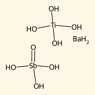 [BaH2].[OH][Ti]([OH])([OH])[OH].[O]=[Sb]([OH])([OH])[OH]